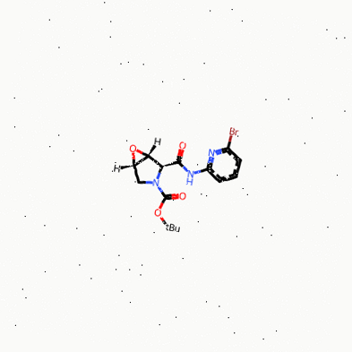 CC(C)(C)OC(=O)N1C[C@@H]2O[C@@H]2[C@H]1C(=O)Nc1cccc(Br)n1